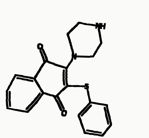 O=C1C(Sc2ccccc2)=C(N2CCNCC2)C(=O)c2ccccc21